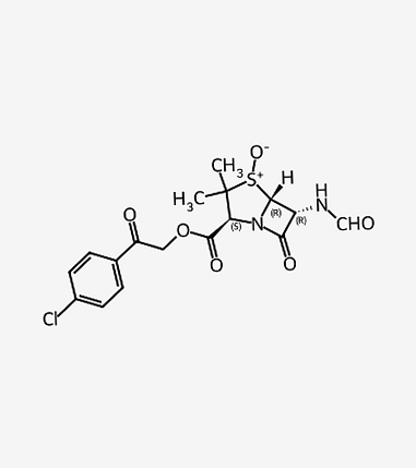 CC1(C)[C@H](C(=O)OCC(=O)c2ccc(Cl)cc2)N2C(=O)[C@@H](NC=O)[C@H]2[S+]1[O-]